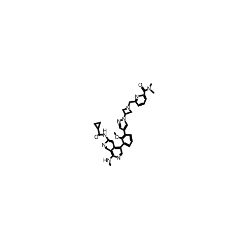 CNc1ncc(-c2cccc(-c3cnn(C4CN(Cc5cccc(C(=O)N(C)C)n5)C4)c3)c2OC)c2cc(NC(=O)C3CC3)ncc12